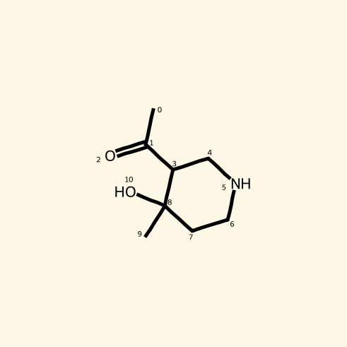 CC(=O)C1CNCCC1(C)O